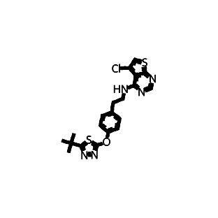 CC(C)(C)c1nnc(Oc2ccc(CCNc3ncnc4scc(Cl)c34)cc2)s1